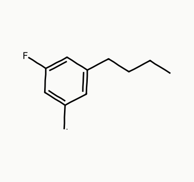 [CH2]c1cc(F)cc(CCCC)c1